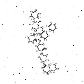 c1ccc(-c2ccc(N(c3ccc(-c4ccc(-c5cccc6ccccc56)cc4)cc3)c3ccccc3-c3cccc4c3ccc3c5ccccc5oc43)cc2)cc1